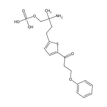 CC(N)(CCc1ccc(C(=O)CCOc2ccccc2)s1)COP(=O)(O)O